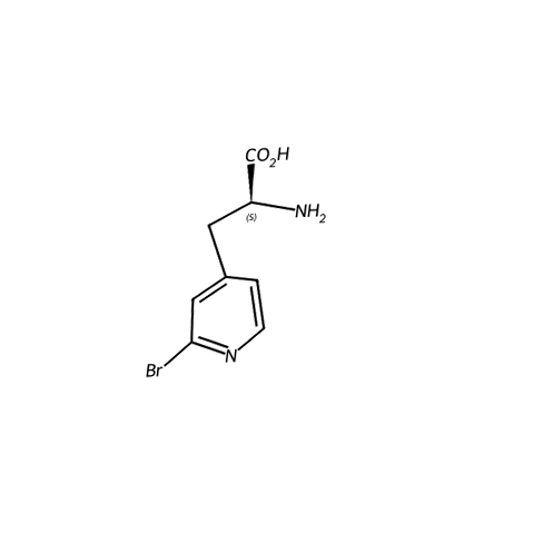 N[C@@H](Cc1ccnc(Br)c1)C(=O)O